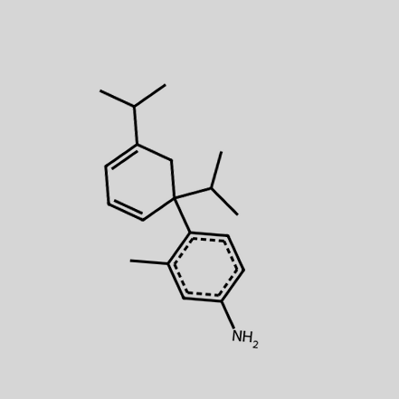 Cc1cc(N)ccc1C1(C(C)C)C=CC=C(C(C)C)C1